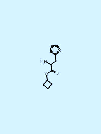 NC(Cc1cccs1)C(=O)OC1CCC1